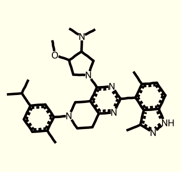 COC1CN(c2nc(-c3c(C)ccc4[nH]nc(C)c34)nc3c2CN(c2cc(C(C)C)ccc2C)CC3)CC1N(C)C